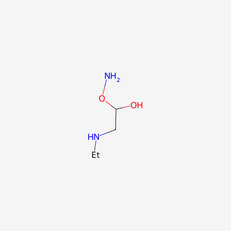 CCNCC(O)ON